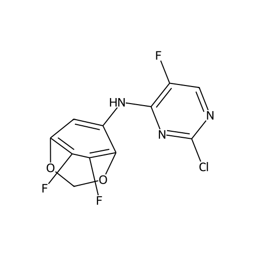 Fc1cnc(Cl)nc1Nc1cc2c(F)c(F)c1OCO2